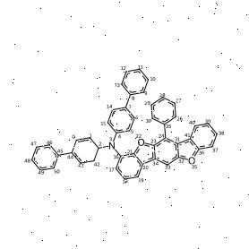 C1=CC(N(c2ccc(-c3ccccc3)cc2)c2cccc3c2oc2c(-c4ccccc4)c4c(cc23)oc2ccccc24)CC=C1c1ccccc1